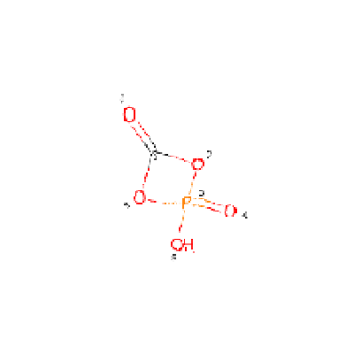 O=C1OP(=O)(O)O1